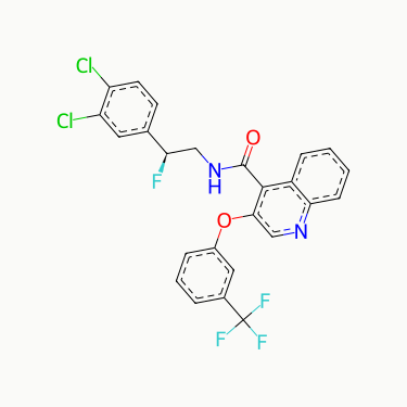 O=C(NC[C@@H](F)c1ccc(Cl)c(Cl)c1)c1c(Oc2cccc(C(F)(F)F)c2)cnc2ccccc12